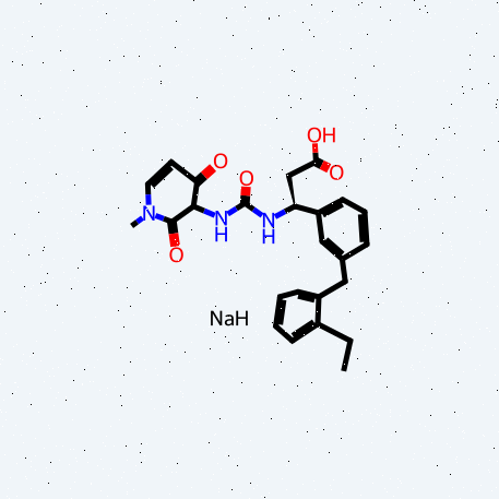 CCc1ccccc1Cc1cccc([C@H](CC(=O)O)NC(=O)NC2C(=O)C=CN(C)C2=O)c1.[NaH]